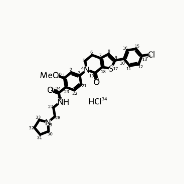 COc1cc(N2CCc3cc(-c4ccc(Cl)cc4)sc3C2=O)ccc1C(=O)NCCN1CCCC1.Cl